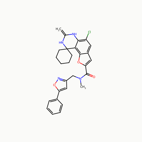 C=C1Nc2c(Cl)cc3cc(C(=O)N(C)Cc4cc(-c5ccccc5)on4)oc3c2C2(CCCCC2)N1